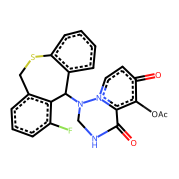 CC(=O)Oc1c2n(ccc1=O)N(C1c3ccccc3SCc3cccc(F)c31)CNC2=O